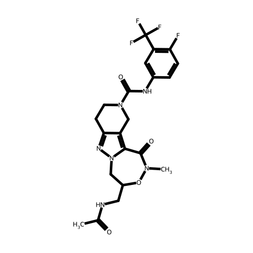 CC(=O)NCC1Cn2nc3c(c2C(=O)N(C)O1)CN(C(=O)Nc1ccc(F)c(C(F)(F)F)c1)CC3